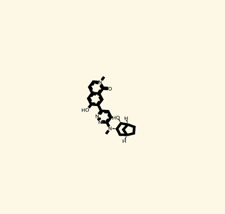 CN(c1ccc(-c2cc3c(=O)n(C)ccc3cc2O)nn1)[C@H]1C[C@@H]2CC[C@@H](C2)[C@H]1O